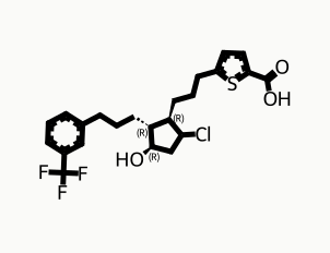 O=C(O)c1ccc(CCC[C@H]2C(Cl)C[C@@H](O)[C@@H]2CCCc2cccc(C(F)(F)F)c2)s1